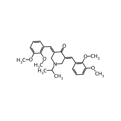 COc1cccc(/C=C2\CN(C(C)C)C/C(=C\c3cccc(OC)c3OC)C2=O)c1OC